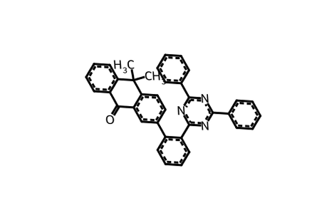 CC1(C)c2ccccc2C(=O)c2cc(-c3ccccc3-c3nc(-c4ccccc4)nc(-c4ccccc4)n3)ccc21